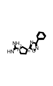 N=C(N)N1CC[C@@H](c2nc(-c3ccccc3)no2)C1